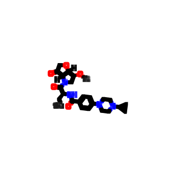 CCO[C@H]1CN(C(=O)[C@H](CC(C)(C)C)NC(=O)c2ccc(N3CCN(C4CC4)CC3)cc2)[C@@H]2C(=O)CO[C@H]12